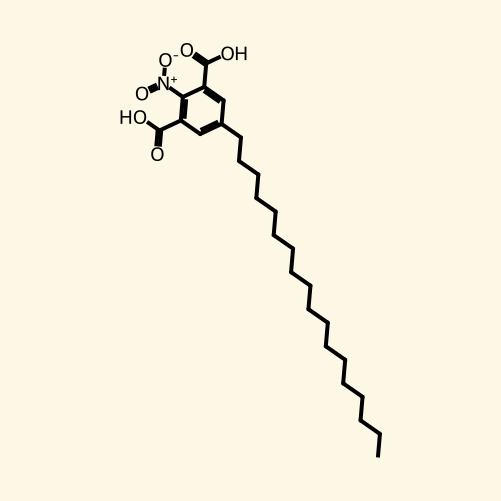 CCCCCCCCCCCCCCCCCCc1cc(C(=O)O)c([N+](=O)[O-])c(C(=O)O)c1